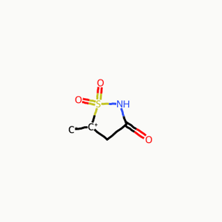 [CH2-][C+]1CC(=O)NS1(=O)=O